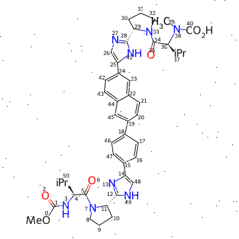 COC(=O)N[C@H](C(=O)N1CCC[C@H]1c1nc(-c2ccc(-c3ccc4cc(-c5cnc([C@@H]6CCCN6C(=O)[C@H](C(C)C)N(C)C(=O)O)[nH]5)ccc4c3)cc2)c[nH]1)C(C)C